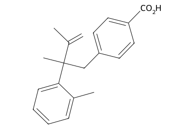 C=C(C)C(C)(Cc1ccc(C(=O)O)cc1)c1ccccc1C